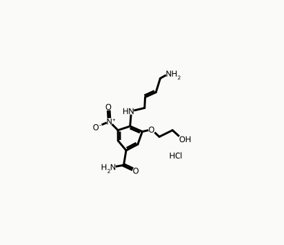 Cl.NC/C=C/CNc1c(OCCO)cc(C(N)=O)cc1[N+](=O)[O-]